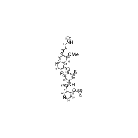 CCNCCOc1cc2nccc(Oc3c(F)cc(NC(=O)c4cnccc4OC4CC4)cc3F)c2cc1OC